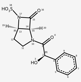 O=C([C@H](O)c1ccccc1)N1CC[C@@H]2[C@H]1C(=O)N2S(=O)(=O)O